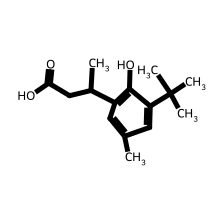 Cc1cc(C(C)CC(=O)O)c(O)c(C(C)(C)C)c1